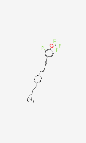 CCCCC[C@H]1CC[C@H](C=CC#Cc2ccc(OC(F)(F)F)c(F)c2)CC1